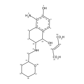 Nc1c(O)ccc2c1CCC(NCC1CCCCO1)C2O.O=C(O)C=CC(=O)O